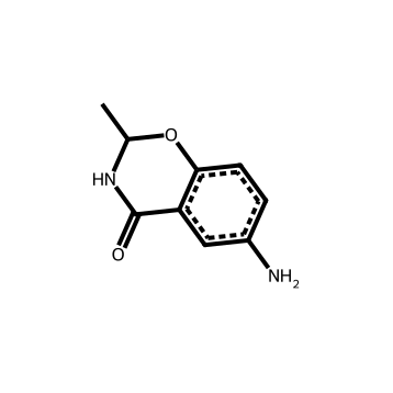 CC1NC(=O)c2cc(N)ccc2O1